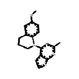 COc1ccc2c(c1)CCCN2c1nc(C)nc2sccc12